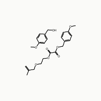 C=C(C)COCCOC(=O)C(=O)OCc1ccc(OC)cc1.COc1ccc(CO)cc1